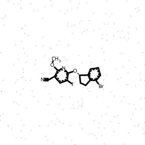 COc1nc(O[C@H]2CCc3c(Br)cccc32)c(I)cc1C#N